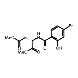 COC(=O)C[C@H](NC(=O)c1ccc(Br)cc1O)C(=O)OC